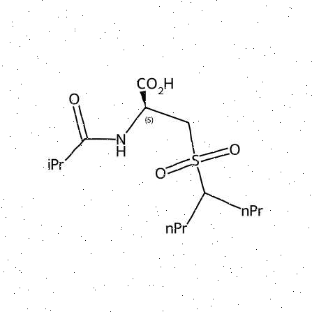 CCCC(CCC)S(=O)(=O)C[C@@H](NC(=O)C(C)C)C(=O)O